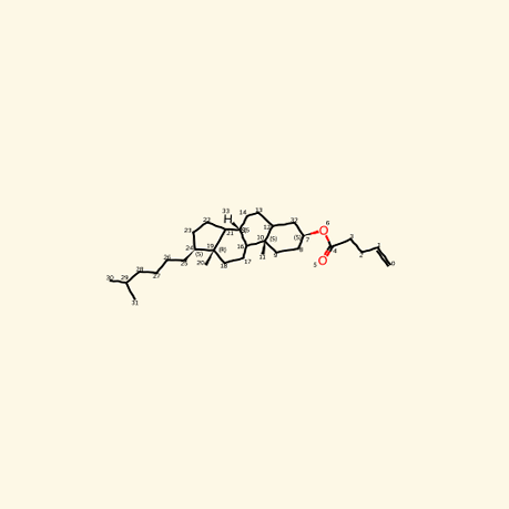 C=CCCC(=O)O[C@H]1CC[C@@]2(C)C(CC[C@@H]3C2CC[C@@]2(C)C3CC[C@@H]2CCCCC(C)C)C1